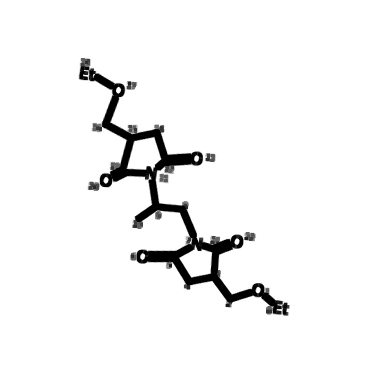 CCOCC1CC(=O)N(CC(C)N2C(=O)CC(COCC)C2=O)C1=O